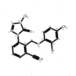 C#Cc1cccc(-n2nnn(C)c2=O)c1COc1ccc(C)cc1Br